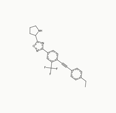 CCc1ccc(C#Cc2ccc(-c3noc(C4CCCN4)n3)cc2C(F)(F)F)cc1